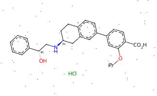 CC(C)Oc1cc(-c2ccc3c(c2)C[C@@H](NC[C@H](O)c2ccccc2)CC3)ccc1C(=O)O.Cl